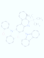 CC(C)(C)c1nc2c3c4c(cc2c2ccccc12)N1c2ccccc2Oc2cccc(c21)B4c1cccc2c4ccccc4n-3c12